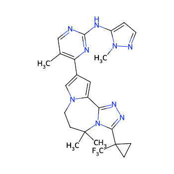 Cc1cnc(Nc2ccnn2C)nc1-c1cc2n(c1)CCC(C)(C)n1c-2nnc1C1(C(F)(F)F)CC1